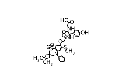 CCCC1(CCC)CN(c2ccccc2)c2cc(SC)c(OCC(=O)N[C@@H](C(=O)NCC(=O)O)c3ccc(O)cc3)cc2S(=O)(=O)C1